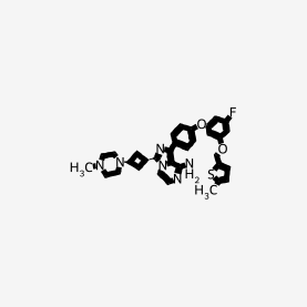 Cc1ccc(COc2cc(F)cc(Oc3ccc(-c4nc([C@H]5C[C@@H](N6CCN(C)CC6)C5)n5ccnc(N)c45)cc3)c2)s1